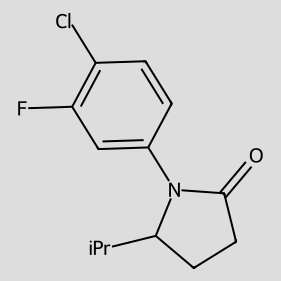 CC(C)C1CCC(=O)N1c1ccc(Cl)c(F)c1